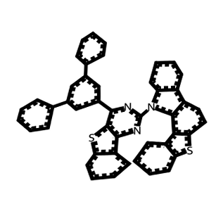 c1ccc(-c2cc(-c3ccccc3)cc(-c3nc(-n4c5ccccc5c5ccc6sc7ccccc7c6c54)nc4c3sc3ccccc34)c2)cc1